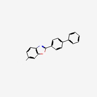 O=C(O)c1ccc2nc(-c3ccc(-c4ccccc4)cc3)oc2c1